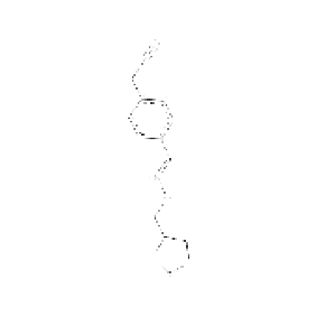 N#CCc1ccc(/C=N/OCC2COCO2)cc1